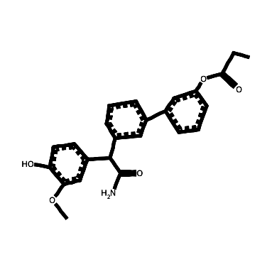 CCC(=O)Oc1cccc(-c2cccc(C(C(N)=O)c3ccc(O)c(OC)c3)c2)c1